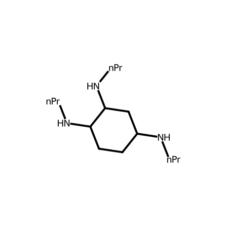 CCCNC1CCC(NCCC)C(NCCC)C1